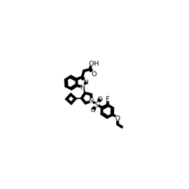 CCOc1ccc(S(=O)(=O)N2C[C@@H](C3CCC3)[C@@H](n3nc(CC(=O)O)c4ccccc43)C2)c(F)c1